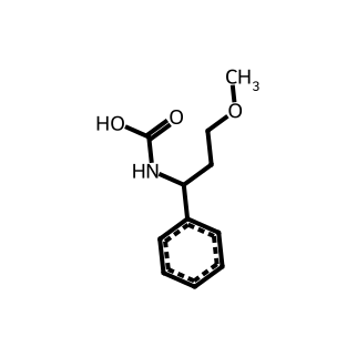 COCCC(NC(=O)O)c1ccccc1